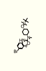 CN(C(=O)Nc1ccc(Br)cc1F)[C@H]1CC[C@@H](O[Si](C)(C)C(C)(C)C)CC1